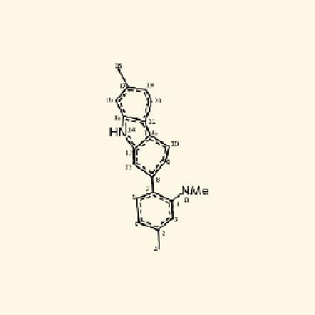 CNc1cc(C)ccc1-c1ccc2c(c1)[nH]c1cc(C)ccc12